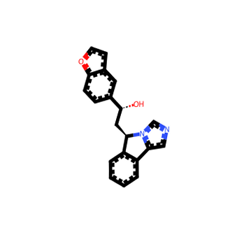 O[C@H](C[C@@H]1c2ccccc2-c2cncn21)c1ccc2occc2c1